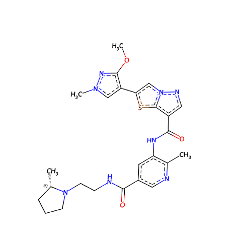 COc1nn(C)cc1-c1cn2ncc(C(=O)Nc3cc(C(=O)NCCN4CCC[C@@H]4C)cnc3C)c2s1